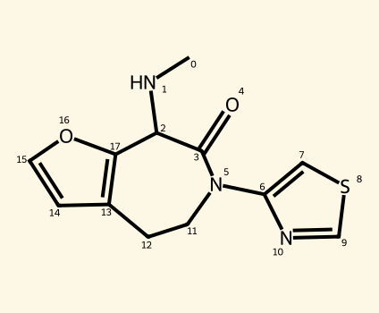 CNC1C(=O)N(c2cscn2)CCc2ccoc21